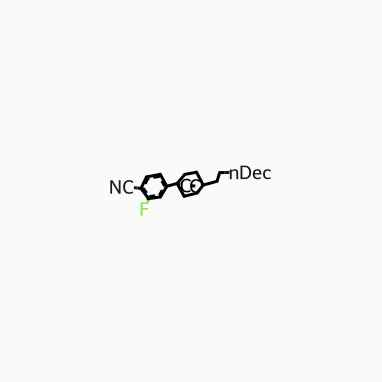 CCCCCCCCCCCCC12CCC(c3ccc(C#N)c(F)c3)(CC1)CC2